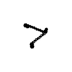 CC(C)(C)c1ccc(OCCOCCOCCOCCOCc2ccc3ccccc3c2)c(OCCOCCOCCOCCOCc2ccc3ccccc3c2)c1